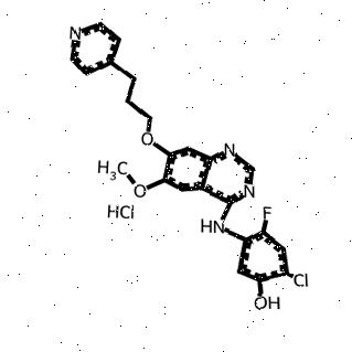 COc1cc2c(Nc3cc(O)c(Cl)cc3F)ncnc2cc1OCCCc1ccncc1.Cl